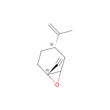 C#C[C@@]12CC[C@H](C(=C)C)CC1O2